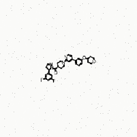 O=C(C1CCN(c2cc(-c3cccc(OC4CCOCC4)c3)ccn2)CC1)N1N=CCC1c1cc(F)cc(F)c1